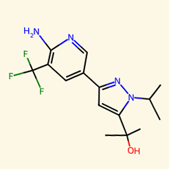 CC(C)n1nc(-c2cnc(N)c(C(F)(F)F)c2)cc1C(C)(C)O